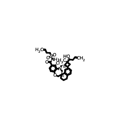 C=CCCS(=O)(=O)NC(=O)c1ccc2c(c1Cl)N(C[C@H]1CC[C@@]1(C)[C@@H](O)CC=C)C[C@@]1(CCCc3ccccc31)CO2